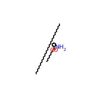 CCCCCCCCCCCCCCCCCCCCCCCCCCCCCCCCCC.CCCCCCCCOC(=O)c1ccccc1N